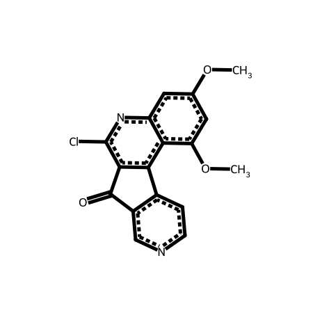 COc1cc(OC)c2c3c(c(Cl)nc2c1)C(=O)c1cnccc1-3